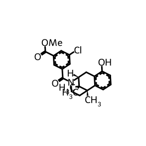 COC(=O)c1cc(Cl)cc(C(=O)N2CC[C@@]3(C)c4cccc(O)c4C[C@@H]2C3(C)C)c1